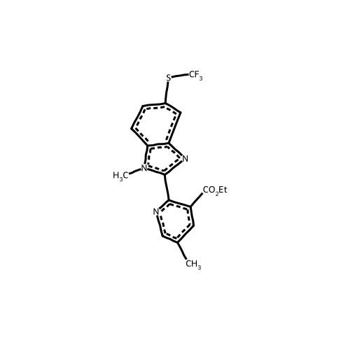 CCOC(=O)c1cc(C)cnc1-c1nc2cc(SC(F)(F)F)ccc2n1C